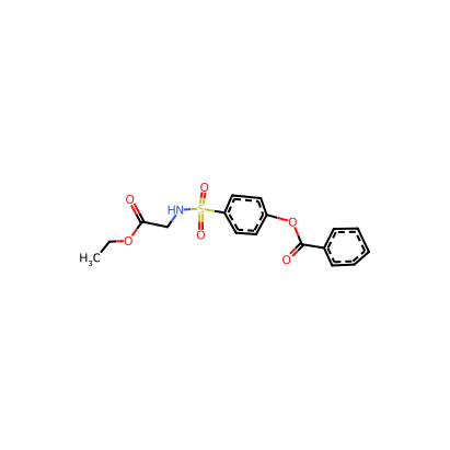 CCOC(=O)CNS(=O)(=O)c1ccc(OC(=O)c2ccccc2)cc1